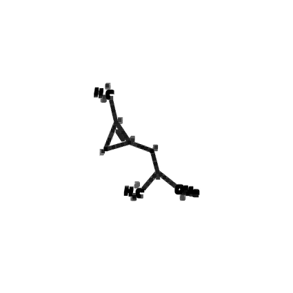 [CH2]OC(C)CC1=C(C)C1